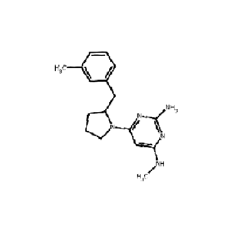 CNc1cc(N2CCCC2Cc2cccc(C)c2)nc(N)n1